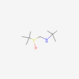 CC(C)(C)NC[S+]([O-])C(C)(C)C